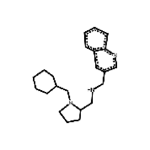 c1ccc2ncc(CNCC3CCCN3CC3CCCCC3)cc2c1